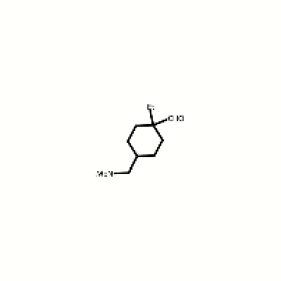 CCC1(C=O)CCC(CNC)CC1